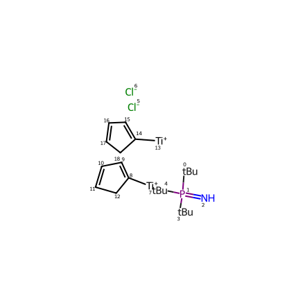 CC(C)(C)P(=N)(C(C)(C)C)C(C)(C)C.[Cl-].[Cl-].[Ti+][C]1=CC=CC1.[Ti+][C]1=CC=CC1